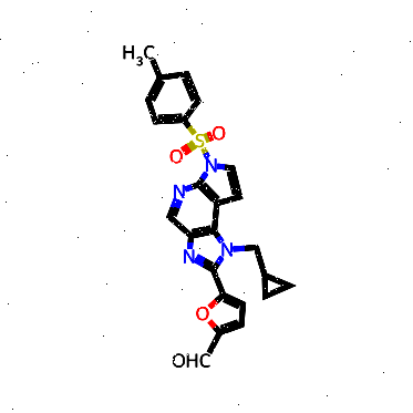 Cc1ccc(S(=O)(=O)n2ccc3c2ncc2nc(-c4ccc(C=O)o4)n(CC4CC4)c23)cc1